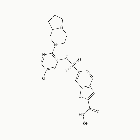 O=C(NO)c1cc2ccc(S(=O)(=O)Nc3cc(Cl)cnc3N3CCN4CCCC4C3)cc2o1